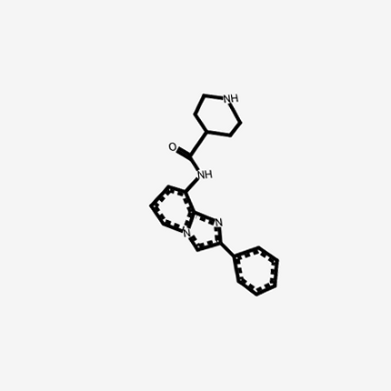 O=C(Nc1cccn2cc(-c3ccccc3)nc12)C1CCNCC1